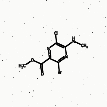 CNc1nc(Br)c(C(=O)OC)nc1Cl